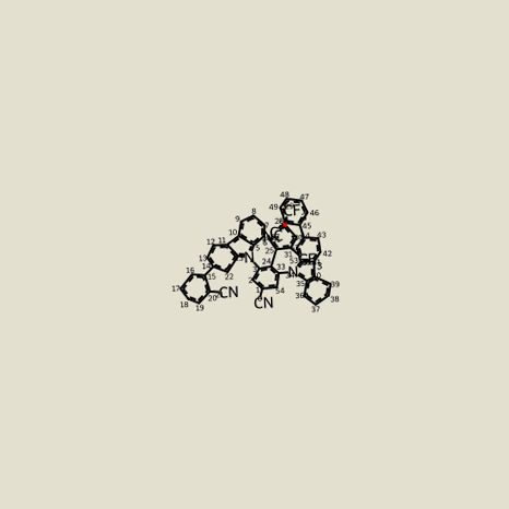 N#Cc1cc(-n2c3ccccc3c3ccc(-c4ccccc4C#N)cc32)c(-c2ccc(C(F)(F)F)cc2C(F)(F)F)c(-n2c3ccccc3c3ccc(-c4ccccc4C#N)cc32)c1